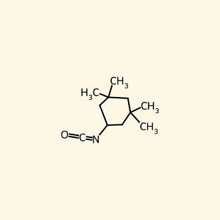 CC1(C)CC(N=C=O)CC(C)(C)C1